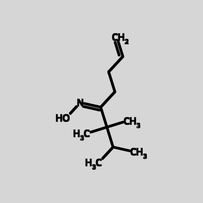 C=CCCC(=NO)C(C)(C)C(C)C